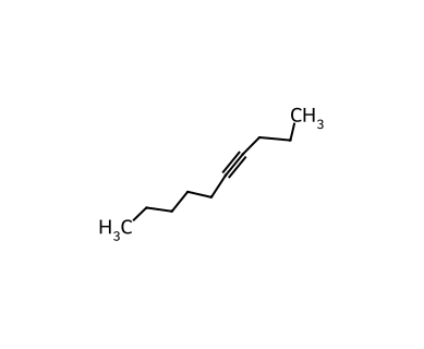 CCCC#CCCCCC